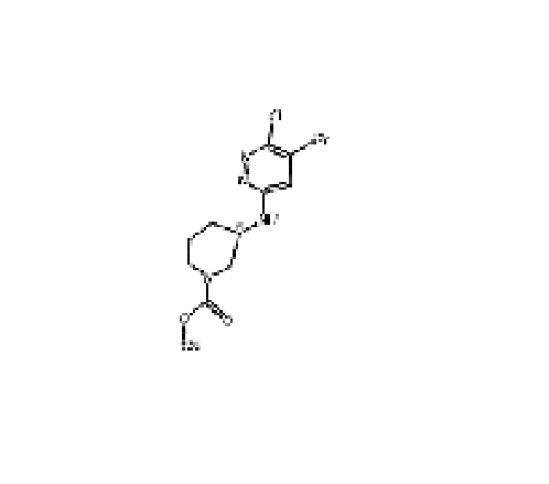 CC(C)c1cc(N[C@@H]2CCCN(C(=O)OC(C)(C)C)C2)nnc1Cl